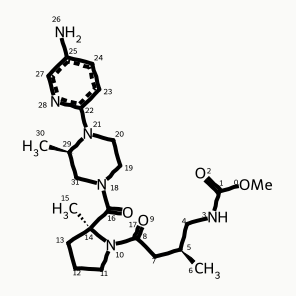 COC(=O)NC[C@@H](C)CC(=O)N1CCC[C@@]1(C)C(=O)N1CCN(c2ccc(N)cn2)[C@H](C)C1